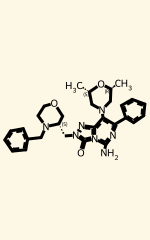 C[C@@H]1CN(c2c(-c3ccccc3)nc(N)n3c(=O)n(C[C@H]4COCCN4Cc4ccccc4)nc23)C[C@H](C)O1